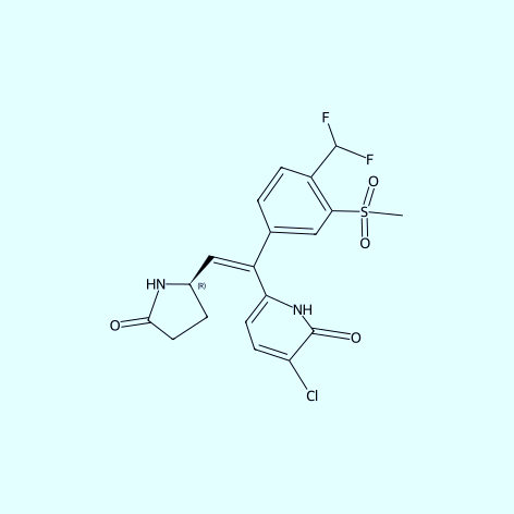 CS(=O)(=O)c1cc(C(=C[C@H]2CCC(=O)N2)c2ccc(Cl)c(=O)[nH]2)ccc1C(F)F